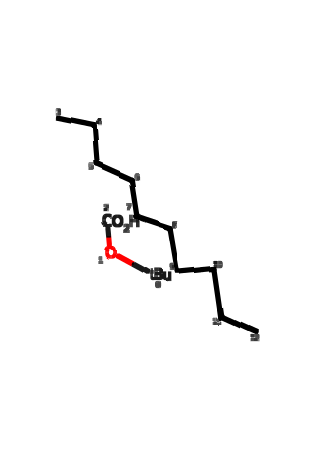 CC(C)(C)OC(=O)O.CCCCCCCCCC